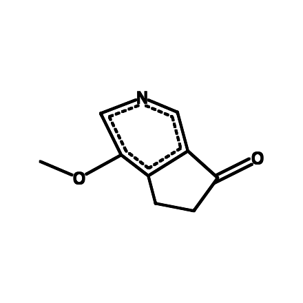 COc1cncc2c1CCC2=O